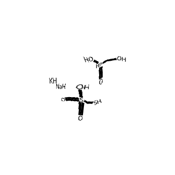 O=S(=O)(O)S.O=[PH](O)O.[KH].[NaH]